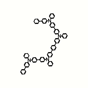 C1=CCCC(N(c2ccc(-c3ccccc3)cc2)c2ccc(-c3ccc(N(c4ccccc4)c4ccc(-c5ccc(-c6ccc(N(c7ccccc7)c7ccc(-c8ccc(N(c9ccccc9)c9ccc(C%10=CCCC=C%10)cc9)cc8)cc7)cc6)cc5)cc4)cc3)cc2)=C1